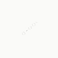 Cc1ccc(C#Cc2ccc(-c3ccc(N=C=S)c(C)c3)cc2C)c(C)c1